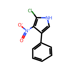 O=[N+]([O-])c1c(-c2ccccc2)c[nH]c1Cl